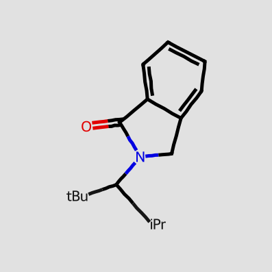 CC(C)C(N1Cc2ccccc2C1=O)C(C)(C)C